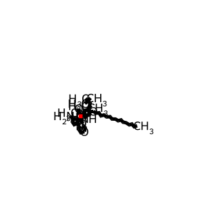 CCCCCCCCCCCCCCCCOc1cc(NS(=O)(=O)c2cc(N)ccc2N2CCOCC2)c(OC(C)=O)cc1C(C)(C)CC(C)(C)C